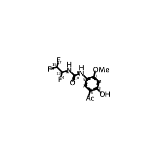 COc1cc(O)c(C(C)=O)cc1NC(=O)NC(F)C(F)F